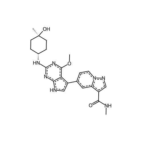 CNC(=O)c1cnn2ccc(-c3c[nH]c4nc(N[C@H]5CC[C@](C)(O)CC5)nc(OC)c34)cc12